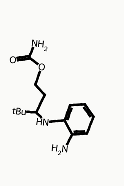 CC(C)(C)C(CCOC(N)=O)Nc1ccccc1N